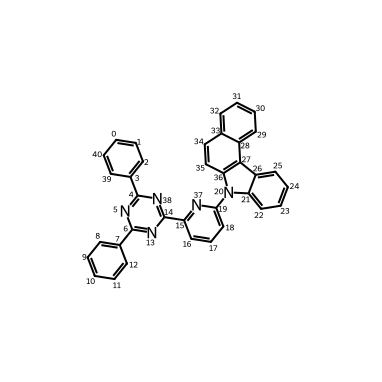 c1ccc(-c2nc(-c3ccccc3)nc(-c3cccc(-n4c5ccccc5c5c6ccccc6ccc54)n3)n2)cc1